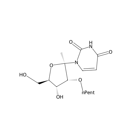 CCCCCO[C@@H]1[C@H](O)[C@@H](CO)O[C@@]1(C)n1ccc(=O)[nH]c1=O